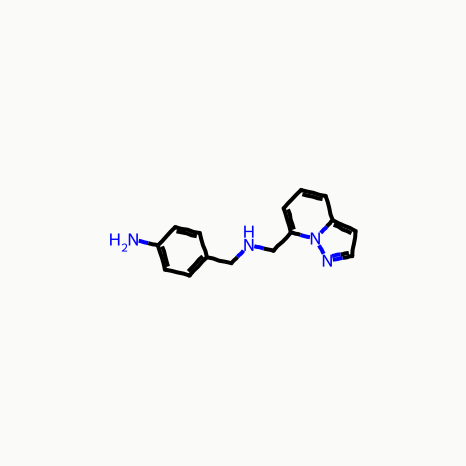 Nc1ccc(CNCc2cccc3ccnn23)cc1